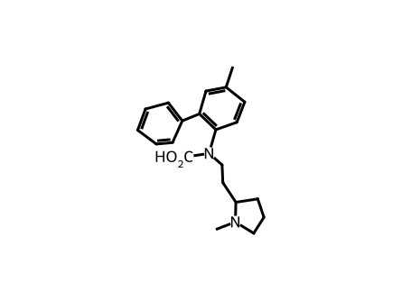 Cc1ccc(N(CCC2CCCN2C)C(=O)O)c(-c2ccccc2)c1